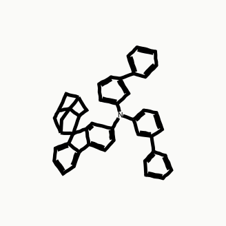 c1ccc(-c2cccc(N(c3cccc(-c4ccccc4)c3)c3ccc4c(c3)C3(c5ccccc5-4)C4CC5CC(C4)CC3C5)c2)cc1